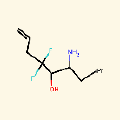 C=CCC(F)(F)C(O)C(N)CC(C)C